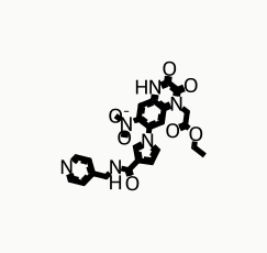 CCOC(=O)Cn1c(=O)c(=O)[nH]c2cc([N+](=O)[O-])c(-n3ccc(C(=O)NCc4ccncc4)c3)cc21